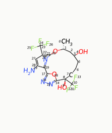 C[C@@H]1CC(O)CCC[C@](O)(C(F)(F)F)c2nnc(o2)-c2nc(c(C(F)(F)F)cc2N)O1